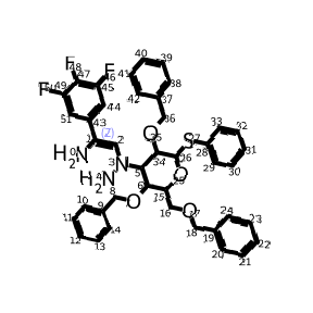 N/C(=C\N(N)C1C(OCc2ccccc2)C(COCc2ccccc2)OC(Sc2ccccc2)C1OCc1ccccc1)c1cc(F)c(F)c(F)c1